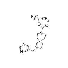 O=C(OC(C(F)(F)F)C(F)(F)F)N1CCC2(CCN(Cc3cncnc3)C2)CC1